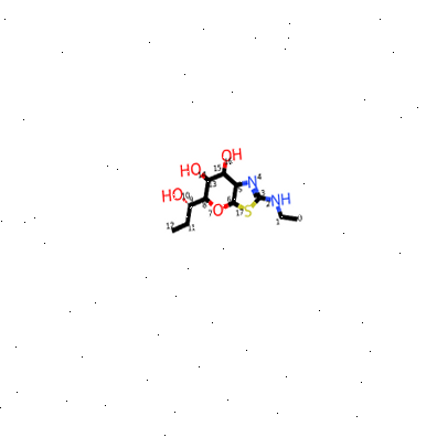 CCNC1=NC2C(OC([C@@H](O)CC)C(O)C2O)S1